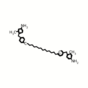 Cc1cc(N)ccc1Cc1ccc(CCCCCCCCCCCCCCCc2ccc(Cc3ccc(N)cc3C)cc2)cc1